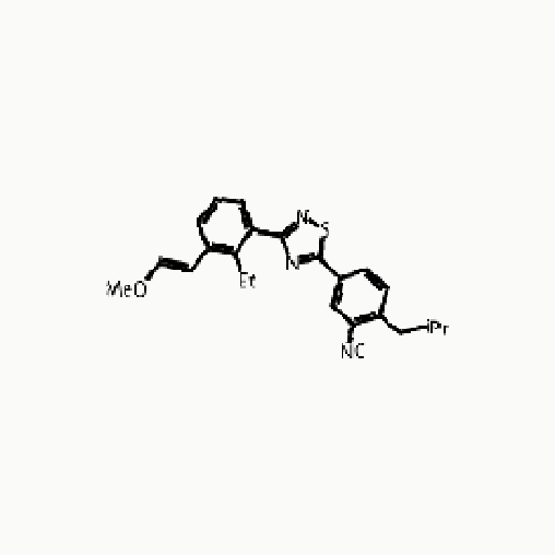 [C-]#[N+]c1cc(-c2nc(-c3cccc(/C=C/OC)c3CC)ns2)ccc1CC(C)C